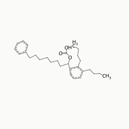 CCCCc1cccc(C(CCCCCCCc2ccccc2)OC(=O)O)c1CCCC